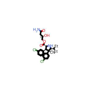 CCC(CC)[C@@H]1N[C@@H](C(=O)OC[C@@H](O)CC(N)=O)[C@H](c2cccc(Cl)c2)[C@@]1(C#N)c1ccc(Cl)cc1